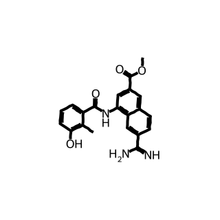 COC(=O)c1cc(NC(=O)c2cccc(O)c2C)c2cc(C(=N)N)ccc2c1